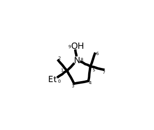 CCC1(C)CCC(C)(C)N1O